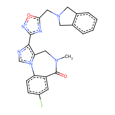 CN1Cc2c(-c3noc(CN4Cc5ccccc5C4)n3)ncn2-c2ccc(F)cc2C1=O